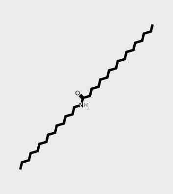 CCCCCCCCCCCCCCCCC(=O)NCCCCCCCCCCCCCC